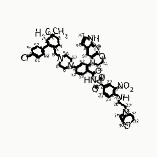 CC1(C)CCC(CN2CCN(c3ccc(C(=O)NS(=O)(=O)c4ccc(NCCN5CC6CC5CO6)c([N+](=O)[O-])c4)c(N4CCOc5nc6[nH]ccc6cc54)c3)CC2)=C(c2ccc(Cl)cc2)C1